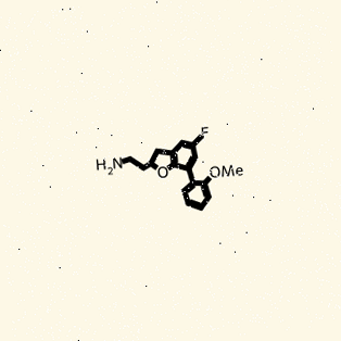 COc1ccccc1-c1cc(F)cc2c1OC(CCN)C2